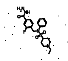 CCN1CCC(S(=O)(=O)N(Cc2ccc(C(=O)NN)cc2F)c2ccccc2)CC1